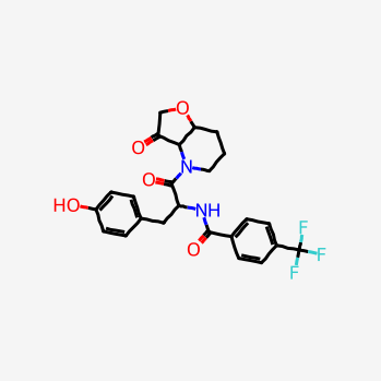 O=C(NC(Cc1ccc(O)cc1)C(=O)N1CCCC2OCC(=O)C21)c1ccc(C(F)(F)F)cc1